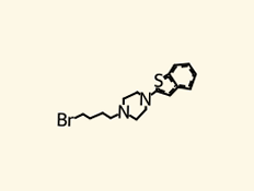 BrCCCCN1CCN(c2cc3ccccc3s2)CC1